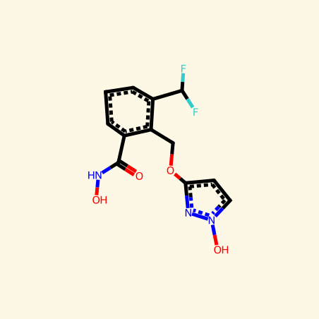 O=C(NO)c1cccc(C(F)F)c1COc1ccn(O)n1